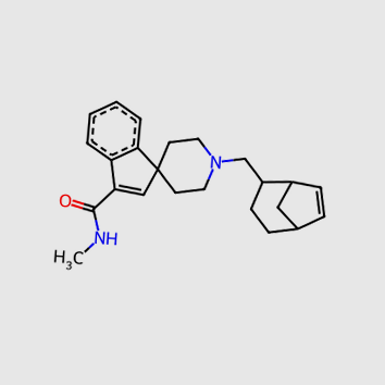 CNC(=O)C1=CC2(CCN(CC3CCC4C=CC3C4)CC2)c2ccccc21